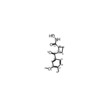 COc1cc(C(=O)N2CC[C@@H]2C(=O)NO)ccc1C